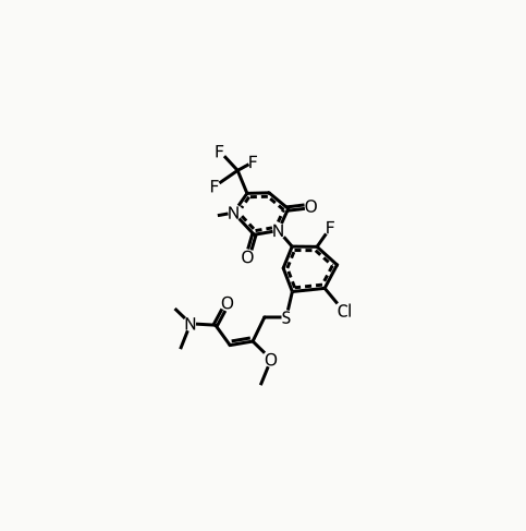 CO/C(=C/C(=O)N(C)C)CSc1cc(-n2c(=O)cc(C(F)(F)F)n(C)c2=O)c(F)cc1Cl